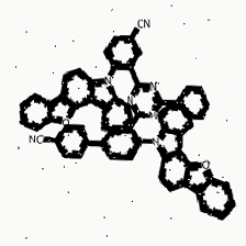 N#Cc1ccc(-c2ccc(-n3c4ccccc4c4c5oc6ccccc6c5ccc43)c(-c3nc(-c4ccccc4)nc(-c4cc(C#N)ccc4-n4c5ccccc5c5c6oc7ccccc7c6ccc54)n3)c2)cc1